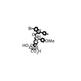 COc1ccc(CN2Cc3sc(NC(=O)C(=O)O)c(C(=O)O)c3CC2CNC(=O)c2cc(-c3ccc(C)cc3)nc3ccc(Br)cc23)cc1